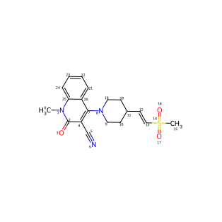 Cn1c(=O)c(C#N)c(N2CCC(C=CS(C)(=O)=O)CC2)c2ccccc21